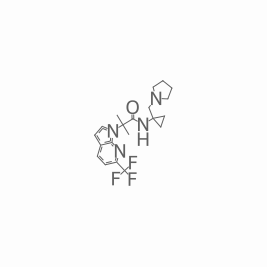 CC(C)(C(=O)NC1(CN2CCCC2)CC1)n1ccc2ccc(C(F)(F)F)nc21